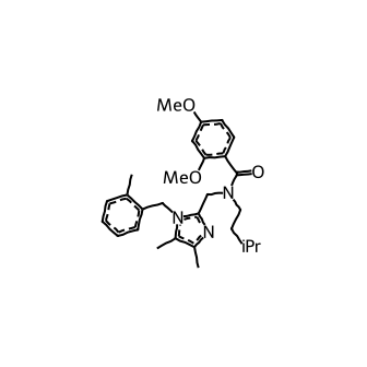 COc1ccc(C(=O)N(CCC(C)C)Cc2nc(C)c(C)n2Cc2ccccc2C)c(OC)c1